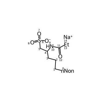 CCCCCCCCCCCCC(CS(=O)(=O)[O-])NC(=O)CC.[Na+]